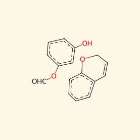 C1=Cc2ccccc2OC1.O=COc1cccc(O)c1